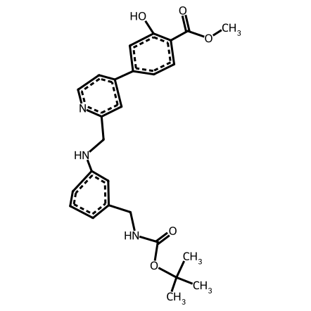 COC(=O)c1ccc(-c2ccnc(CNc3cccc(CNC(=O)OC(C)(C)C)c3)c2)cc1O